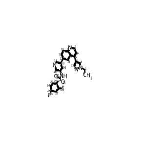 CCn1cc(-c2ccnc3ccc(-c4cncc(NS(=O)(=O)c5ccc(F)cc5F)c4)cc23)cn1